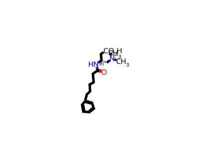 CN(C)C[C@@H](CC(=O)O)NC(=O)CCCCCc1ccccc1